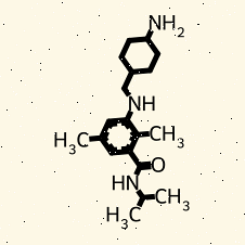 Cc1cc(NCC2CCC(N)CC2)c(C)c(C(=O)NC(C)C)c1